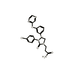 NC(=O)CCN1C[C@H](c2cccc(Oc3cnccn3)c2)N(c2ccc(Cl)cc2)C1=O